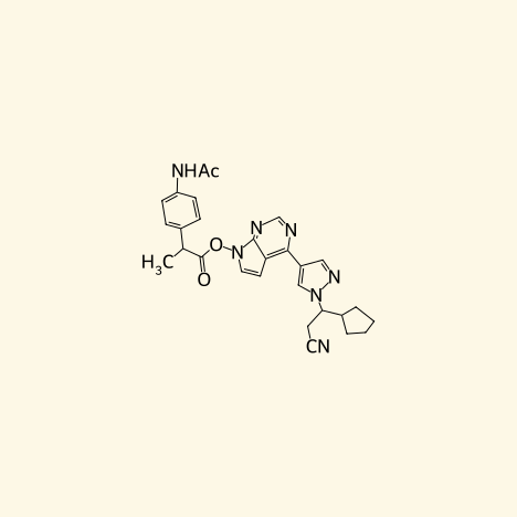 CC(=O)Nc1ccc(C(C)C(=O)On2ccc3c(-c4cnn(C(CC#N)C5CCCC5)c4)ncnc32)cc1